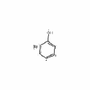 Oc1ccccc1.[Ba]